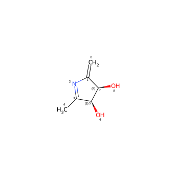 C=C1N=C(C)[C@H](O)[C@@H]1O